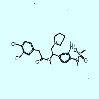 CN(C(=O)Cc1ccc(Cl)c(Cl)c1)C(CN1CCCC1)c1ccc(N(C)S(C)(=O)=O)c(N)c1